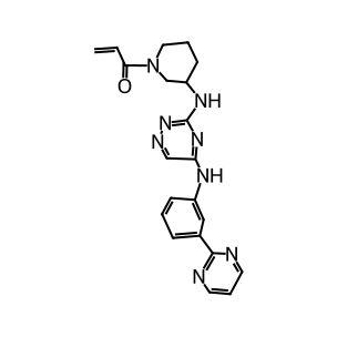 C=CC(=O)N1CCCC(Nc2nncc(Nc3cccc(-c4ncccn4)c3)n2)C1